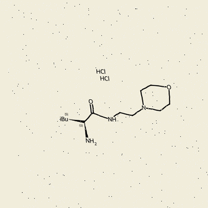 CC[C@H](C)[C@H](N)C(=O)NCCN1CCOCC1.Cl.Cl